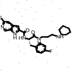 O=C(N[C@@H](Cc1ccc(F)cc1)C(=O)NCCCNC1CCCCC1)c1cc2cc(Cl)ncc2[nH]1